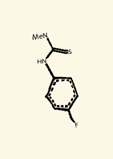 CNC(=S)Nc1ccc(F)cc1